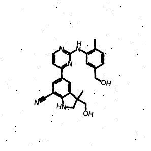 Cc1ccc(CO)cc1Nc1nccc(-c2cc(C#N)c3c(c2)C(C)(CO)CN3)n1